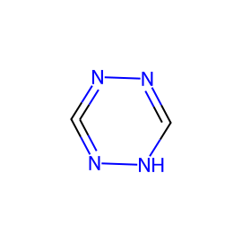 C1=NN=CNN=1